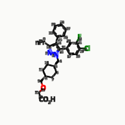 CCCc1nn(C[C@H]2CC[C@@H](COCC(=O)O)CC2)c(-c2ccc(Cl)c(F)c2)c1-c1ccccc1